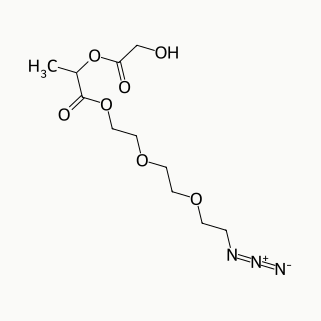 CC(OC(=O)CO)C(=O)OCCOCCOCCN=[N+]=[N-]